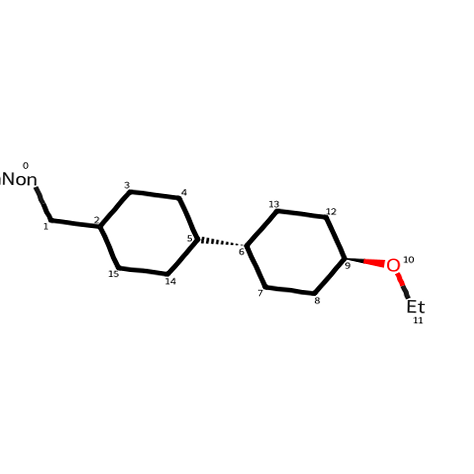 CCCCCCCCCCC1CCC([C@H]2CC[C@H](OCC)CC2)CC1